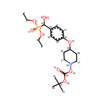 CCOP(=O)(OCC)C(O)c1ccc(OC2CCN(OC(=O)OC(C)(C)C)CC2)cc1